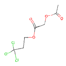 CC(=O)OCC(=O)OCCC(Cl)(Cl)Cl